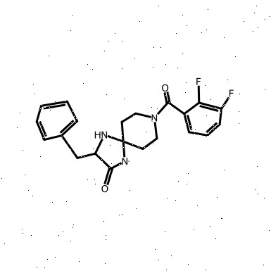 O=C1[N]C2(CCN(C(=O)c3cccc(F)c3F)CC2)NC1Cc1ccccc1